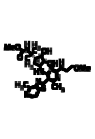 COCCNc1nc(C)c(-c2nc3c(C)nccc3s2)c(NC2C[C@H](C(C)(C)NC(=O)OC)[C@@H](O)[C@H]2O)n1